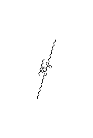 CCCCCCCCCCCCOC(=O)C=CC(=O)OCCCCCCCCCCCC.CCC[CH2][Sn][CH2]CCC